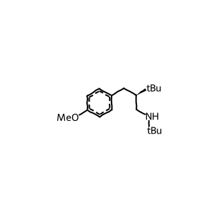 COc1ccc(C[C@H](CNC(C)(C)C)C(C)(C)C)cc1